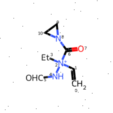 C=C[N+](CC)(NC=O)C(=O)N1CC1